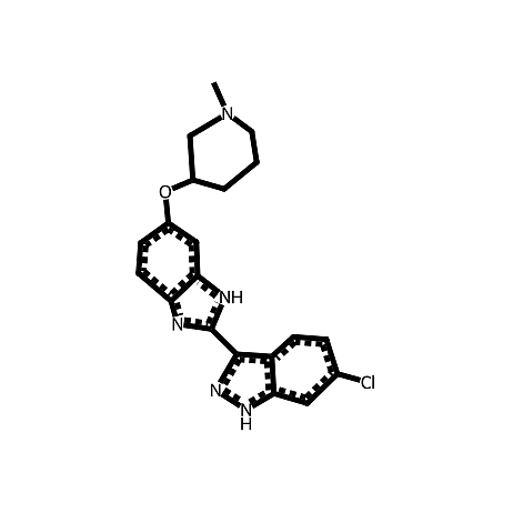 CN1CCCC(Oc2ccc3nc(-c4n[nH]c5cc(Cl)ccc45)[nH]c3c2)C1